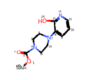 CC(C)(C)OC(=O)N1CCN(c2cccnc2O)CC1